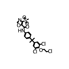 CC(C)(c1ccc(NC(=O)c2ocnc2S(C)(=O)=O)cc1)c1cc(Cl)c(OCCCl)c(Cl)c1